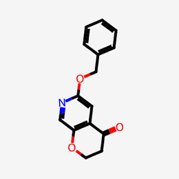 O=C1CCOc2cnc(OCc3ccccc3)cc21